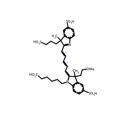 COCCC1(C)\C(=C/C=C/C=C/C2=Nc3ccc(S(=O)(=O)O)cc3C2(C)CCCS(=O)(=O)O)N(CCCCCC(=O)O)c2ccc(S(=O)(=O)O)cc21